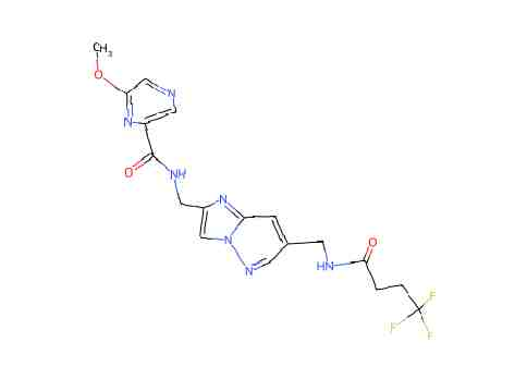 COc1cncc(C(=O)NCc2cn3ncc(CNC(=O)CCC(F)(F)F)cc3n2)n1